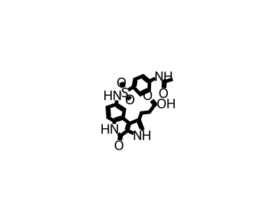 CC(=O)Nc1ccc(S(=O)(=O)Nc2ccc3[nH]c(=O)c4[nH]cc(CCC(=O)O)c4c3c2)cc1